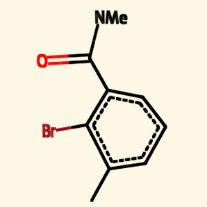 CNC(=O)c1cccc(C)c1Br